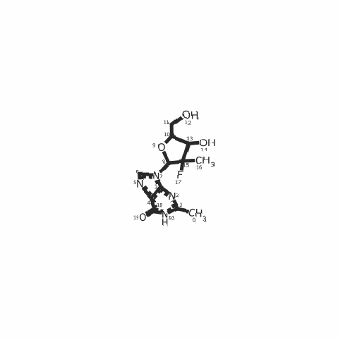 Cc1nc2c(ncn2C2OC(CO)C(O)C2(C)F)c(=O)[nH]1